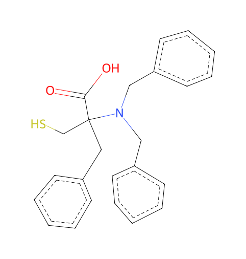 O=C(O)C(CS)(Cc1ccccc1)N(Cc1ccccc1)Cc1ccccc1